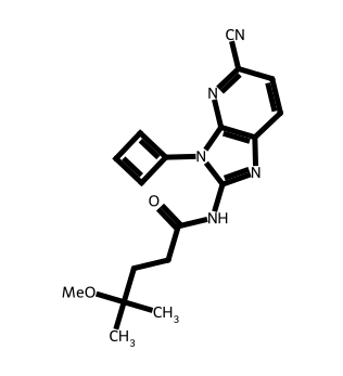 COC(C)(C)CCC(=O)Nc1nc2ccc(C#N)nc2n1C1=CC=C1